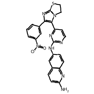 Nc1ccc2cc(Nc3nccc(-c4c(-c5cccc([N+](=O)[O-])c5)nc5n4CCS5)n3)ccc2n1